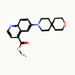 COC(=O)c1ccnc2ccc(N3CCC4(CCOCC4)CC3)cc12